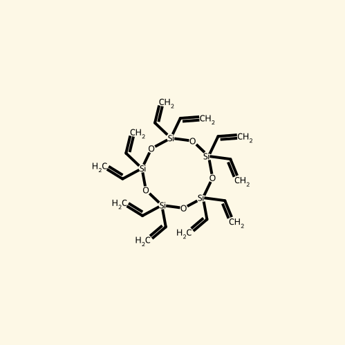 C=C[Si]1(C=C)O[Si](C=C)(C=C)O[Si](C=C)(C=C)O[Si](C=C)(C=C)O[Si](C=C)(C=C)O1